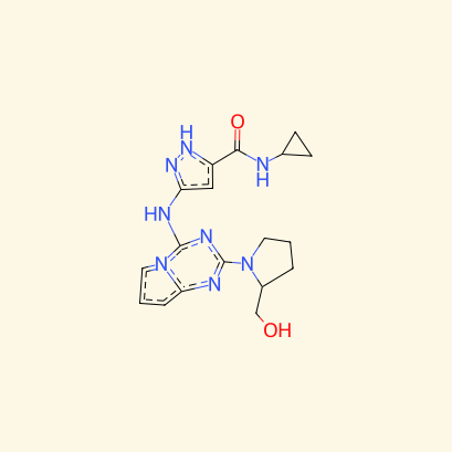 O=C(NC1CC1)c1cc(Nc2nc(N3CCCC3CO)nc3cccn23)n[nH]1